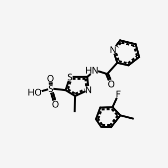 Cc1ccccc1F.Cc1nc(NC(=O)c2ccccn2)sc1S(=O)(=O)O